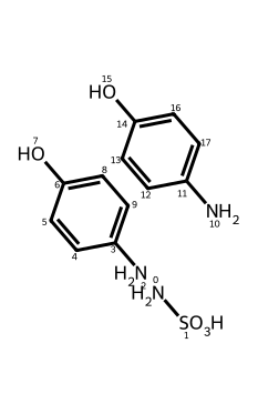 NS(=O)(=O)O.Nc1ccc(O)cc1.Nc1ccc(O)cc1